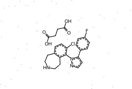 Fc1ccc(-c2ccnn2-c2c(Cl)ccc3c2CCNCC3)cc1.O=C(O)CCC(=O)O